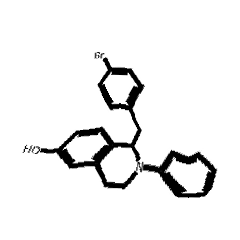 Oc1ccc2c(c1)CCN(c1ccccc1)C2Cc1ccc(Br)cc1